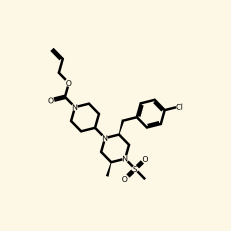 C=CCOC(=O)N1CCC(N2C[C@H](C)N(S(C)(=O)=O)C[C@@H]2Cc2ccc(Cl)cc2)CC1